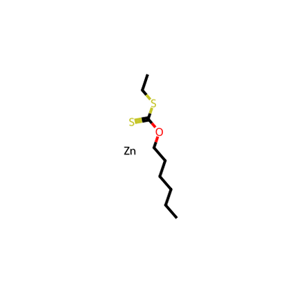 CCCCCCOC(=S)SCC.[Zn]